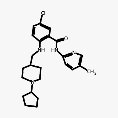 Cc1ccc(NC(=O)c2cc(Cl)ccc2NCC2CCN(C3CCCC3)CC2)nc1